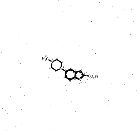 CCOC(=O)c1cc2cc(N3CCN(C)CC3)ccc2s1